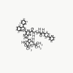 CN(C)C(=O)N[C@H]1C[C@@H](n2cnc3c(NCC(c4ccccc4)c4ccccc4)nc(C(=O)NCCNC(=O)NC4CCN(c5ccccn5)CC4)nc32)[C@H](O)[C@@H]1OC(=O)C(F)(F)F